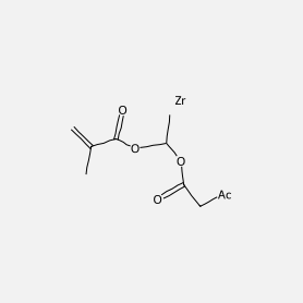 C=C(C)C(=O)OC(C)OC(=O)CC(C)=O.[Zr]